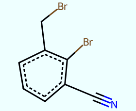 N#Cc1cccc(CBr)c1Br